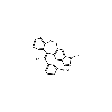 CCC(=C1c2cc3cnn(C(C)C)c3cc2COc2ncccc21)c1cccc(NC(C)=O)c1